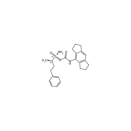 C[C@H](CCc1ccccc1)[S@](N)(=O)=NC(=O)Nc1c2c(cc3c1CCC3)CCC2